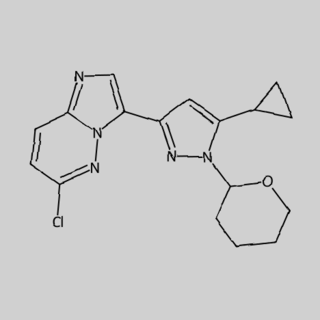 Clc1ccc2ncc(-c3cc(C4CC4)n(C4CCCCO4)n3)n2n1